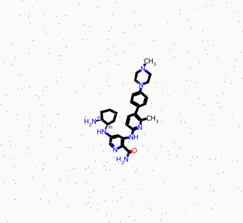 Cc1nc(Nc2cc(N[C@@H]3CCCC[C@@H]3N)cnc2C(N)=O)ccc1-c1ccc(N2CCN(C)CC2)cc1